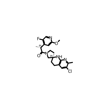 COc1cc([C@@H](C)C(=O)N2CC[C@]3(CCc4cc(Cl)c(C)nc4N3)C2)c(F)cn1